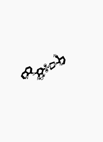 N#Cc1cccnc1N1CCN(S(=O)(=O)c2ccc(Sc3cccc4cccnc34)c3nonc23)CC1